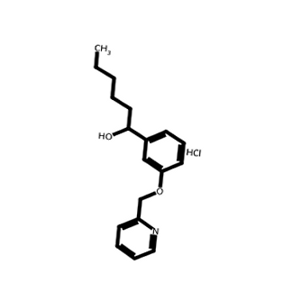 CCCCCC(O)c1cccc(OCc2ccccn2)c1.Cl